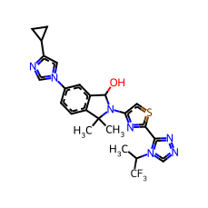 CC(n1cnnc1-c1nc(N2C(O)c3cc(-n4cnc(C5CC5)c4)ccc3C2(C)C)cs1)C(F)(F)F